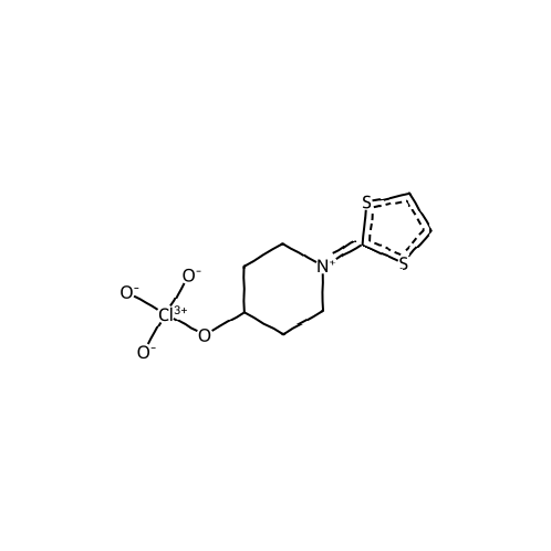 [O-][Cl+3]([O-])([O-])OC1CC[N+](=c2sccs2)CC1